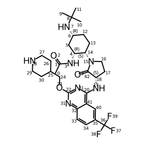 CC(=O)N[C@@H]1C[C@H](NC(C)(C)C)CC[C@@H]1N1CC[C@H](Nc2nc(OCC3CCNCC3)nc3ccc(C(F)(F)F)cc23)C1=O